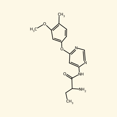 CCC(N)C(=O)Nc1cc(Oc2ccc(C)c(OC)c2)ncn1